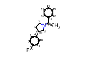 CC(C)c1ccc([C@H]2CCN([C@@H](C)c3ccccc3)C2)cc1